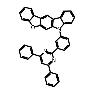 c1ccc(-c2cc(-c3ccccc3)nc(-c3cccc(-n4c5ccccc5c5cc6c(cc54)oc4ccccc46)c3)n2)cc1